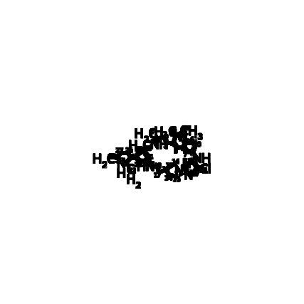 C=C(CCC1=Cc2cc(Nc3nc(N4CCC(CCNc5cccc(C6CCC(=C)NC6=C)c5)CC4)ncc3Cl)ccc2N(C)C1=C)NC